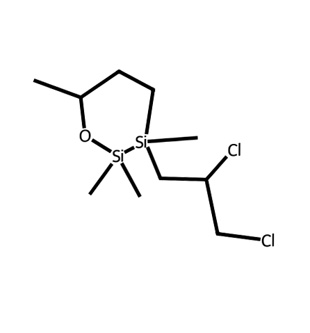 CC1CC[Si](C)(CC(Cl)CCl)[Si](C)(C)O1